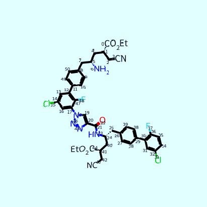 CCOC(=O)[C@H](CC#N)C[C@H](N)Cc1ccc(-c2cc(Cl)cc(-n3cc(C(=O)N[C@H](Cc4ccc(-c5cc(Cl)ccc5F)cc4)C[C@@H](CC#N)C(=O)OCC)nn3)c2F)cc1